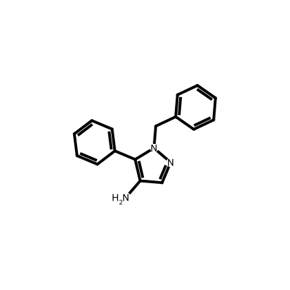 Nc1cnn(Cc2ccccc2)c1-c1ccccc1